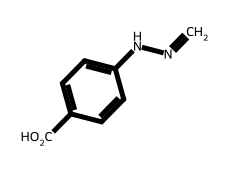 C=NNc1ccc(C(=O)O)cc1